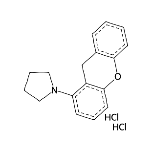 Cl.Cl.c1ccc2c(c1)Cc1c(cccc1N1CCCC1)O2